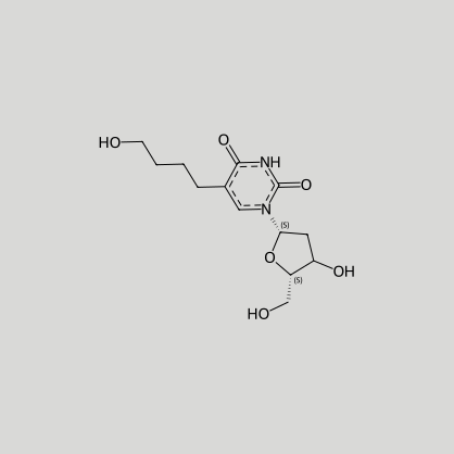 O=c1[nH]c(=O)n([C@@H]2CC(O)[C@H](CO)O2)cc1CCCCO